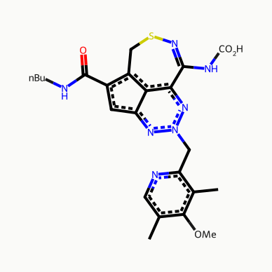 CCCCNC(=O)c1cc2nn(Cc3ncc(C)c(OC)c3C)nc3c-2c1CSN=C3NC(=O)O